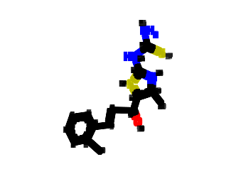 Cc1ccccc1/C=C/C(=O)c1sc(NC(N)=S)nc1C